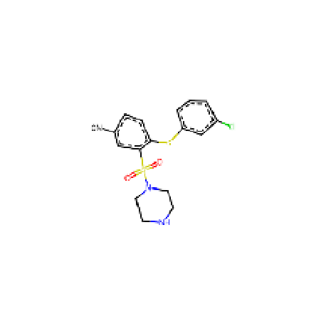 O=Nc1ccc(Sc2cccc(Cl)c2)c(S(=O)(=O)N2CCNCC2)c1